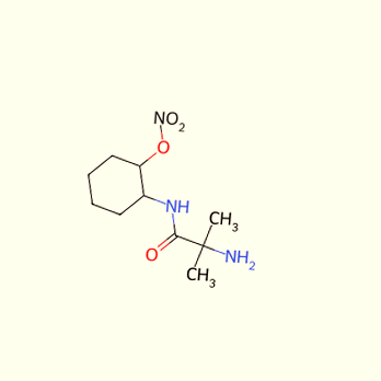 CC(C)(N)C(=O)NC1CCCCC1O[N+](=O)[O-]